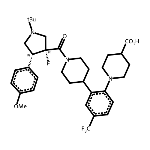 COc1ccc([C@@H]2CN(C(C)(C)C)C[C@@]2(F)C(=O)N2CCC(c3cc(C(F)(F)F)ccc3N3CCC(C(=O)O)CC3)CC2)cc1